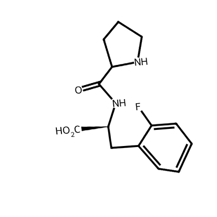 O=C(N[C@@H](Cc1ccccc1F)C(=O)O)C1CCCN1